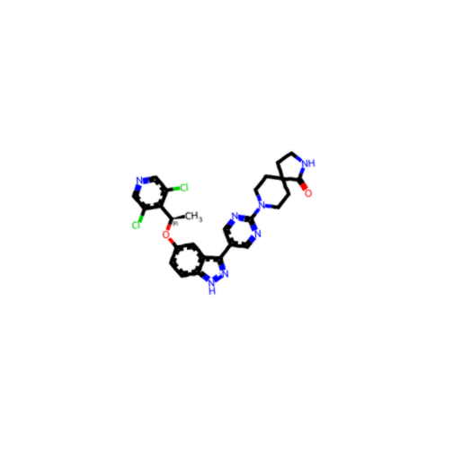 C[C@@H](Oc1ccc2[nH]nc(-c3cnc(N4CCC5(CCNC5=O)CC4)nc3)c2c1)c1c(Cl)cncc1Cl